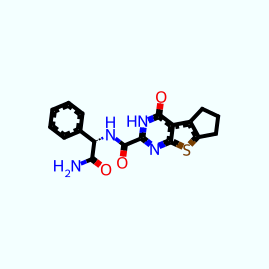 NC(=O)[C@@H](NC(=O)c1nc2sc3c(c2c(=O)[nH]1)CCC3)c1ccccc1